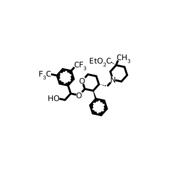 CCOC(=O)[C@]1(C)CCCN(C[C@H]2CCOC(OC(CO)c3cc(C(F)(F)F)cc(C(F)(F)F)c3)[C@@H]2c2ccccc2)C1